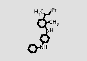 Cc1c(Nc2ccc(Nc3ccccc3)cc2)cccc1C(C)CC(C)C